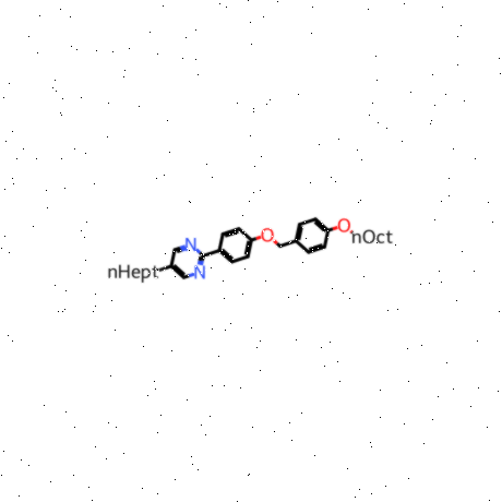 CCCCCCCCOc1ccc(COc2ccc(-c3ncc(CCCCCCC)cn3)cc2)cc1